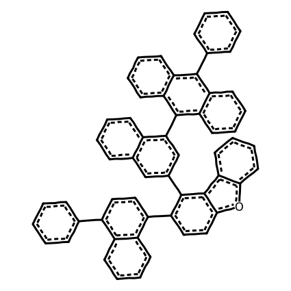 c1ccc(-c2ccc(-c3ccc4oc5ccccc5c4c3-c3cc(-c4c5ccccc5c(-c5ccccc5)c5ccccc45)c4ccccc4c3)c3ccccc23)cc1